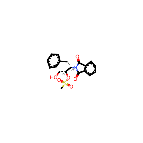 CS(=O)(=O)O[C@H](CO)[C@H](Cc1ccccc1)N1C(=O)c2ccccc2C1=O